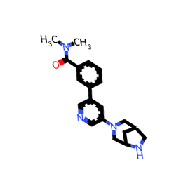 CN(C)C(=O)c1cccc(-c2cncc(N3CC4CNC(C4)C3)c2)c1